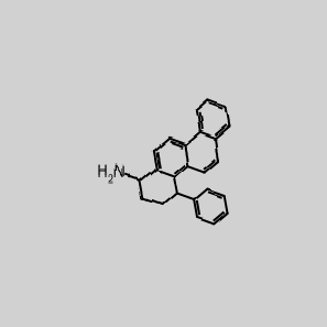 NC1CCC(c2ccccc2)c2c1ccc1c2ccc2ccccc21